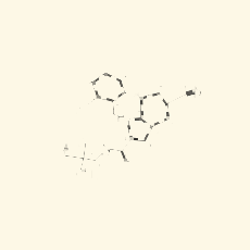 Cc1ccccc1Cn1c(C(=O)NCC(C)(C)CO)cc2cc(C#N)ccc21